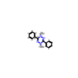 CCC(C)N1N=C(c2ccccc2)N(C(C)CC)N=C1c1ccccc1